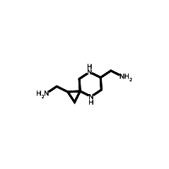 NCC1CNC2(CN1)CC2CN